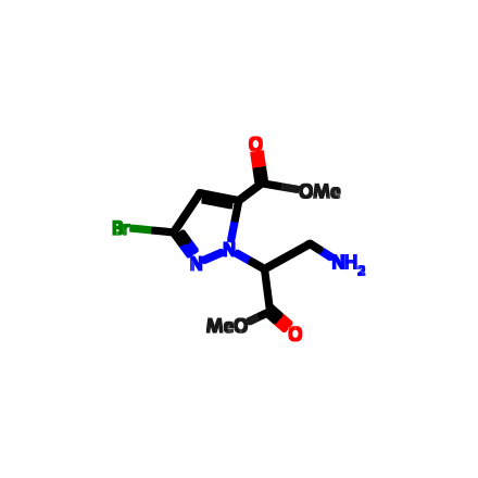 COC(=O)c1cc(Br)nn1C(CN)C(=O)OC